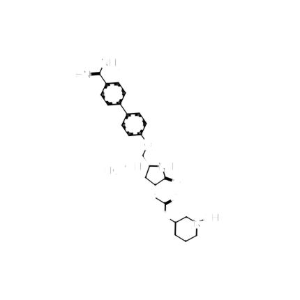 CN1CCCC(OC(=O)C[C@@H]2C[C@@H](COc3ccc(-c4ccc(C(=N)N)cc4)cc3)NC2=O)C1.Cl.Cl